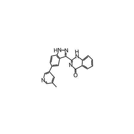 Cc1cncc(-c2ccc3[nH]nc(-c4nc(=O)c5ccccc5[nH]4)c3c2)c1